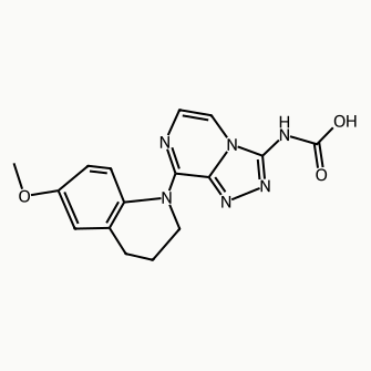 COc1ccc2c(c1)CCCN2c1nccn2c(NC(=O)O)nnc12